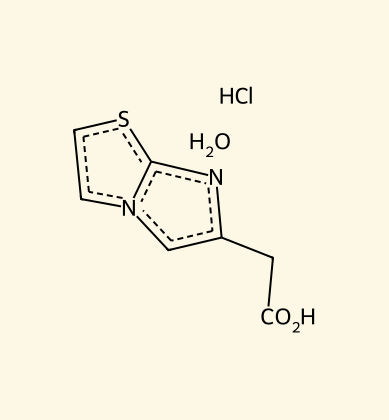 Cl.O.O=C(O)Cc1cn2ccsc2n1